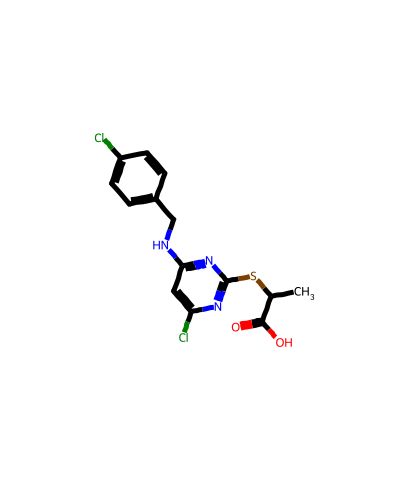 CC(Sc1nc(Cl)cc(NCc2ccc(Cl)cc2)n1)C(=O)O